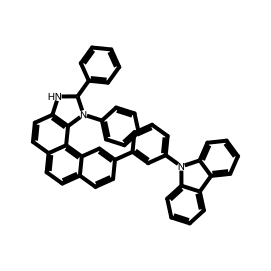 c1ccc(C2Nc3ccc4ccc5ccc(-c6cccc(-n7c8ccccc8c8ccccc87)c6)cc5c4c3N2c2ccccc2)cc1